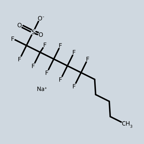 CCCCCC(F)(F)C(F)(F)C(F)(F)C(F)(F)C(F)(F)S(=O)(=O)[O-].[Na+]